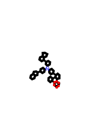 c1ccc(-c2ccccc2-c2c(-c3ccccc3)cccc2-c2ccc(N(c3ccc(-c4ccc5ccccc5c4)cc3)c3cccc(-c4cccc5ccccc45)c3)cc2)cc1